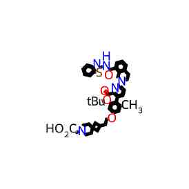 Cc1cc(OCCC2CC3(CCN(CC(=O)O)CC3)C2)ccc1-c1ccc(N2CCc3cccc(C(=O)Nc4nc5ccccc5s4)c3C2)nc1C(=O)OC(C)(C)C